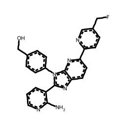 Nc1ncccc1-c1nc2ccc(-c3ccc(CF)cn3)nc2n1-c1ccc(CO)cc1